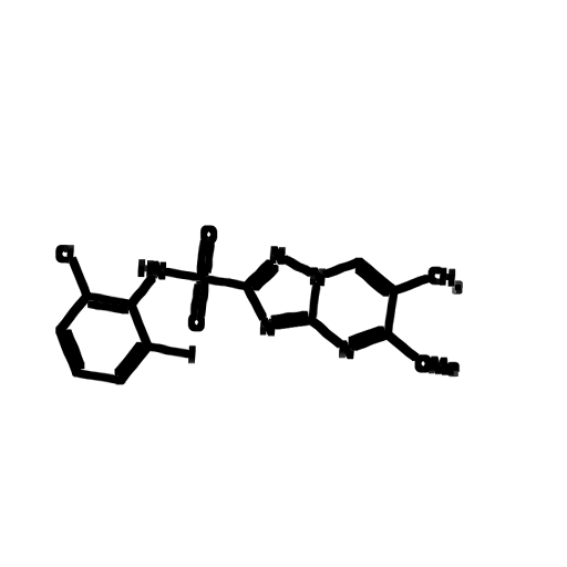 COc1nc2nc(S(=O)(=O)Nc3c(Cl)cccc3I)nn2cc1C